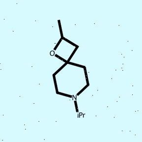 CC1CC2(CCN(C(C)C)CC2)O1